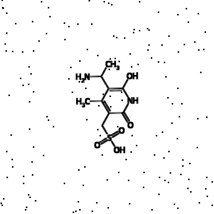 Cc1c(C(C)N)c(O)[nH]c(=O)c1CS(=O)(=O)O